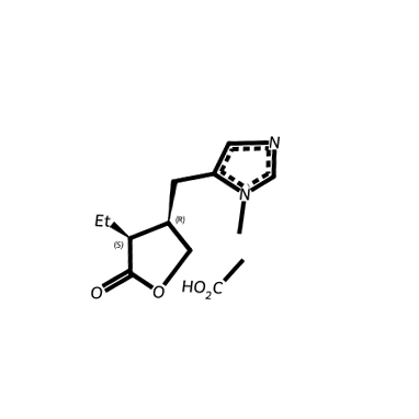 CC(=O)O.CC[C@@H]1C(=O)OC[C@@H]1Cc1cncn1C